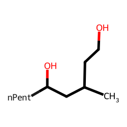 CCCCCC(O)CC(C)CCO